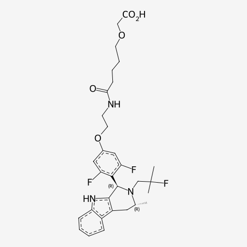 C[C@@H]1Cc2c([nH]c3ccccc23)[C@@H](c2c(F)cc(OCCNC(=O)CCCCOCC(=O)O)cc2F)N1CC(C)(C)F